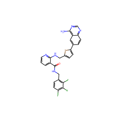 Nc1ncnc2ccc(-c3ccc(CNc4ncccc4C(=O)NCc4ccc(F)c(F)c4F)s3)cc12